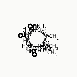 C=CCN1C#CCN(NC(=O)[C@H](C)NC(C)=O)C(=O)N[C@H](Cc2c[nH]c3ccccc23)C(=O)N[C@@H](C)C(=O)N[C@@H](Cc2c[nH]c3ccccc23)C(=O)N[C@H](Cc2ccccc2)C(=O)N[C@H](C(N)=O)CCCC1